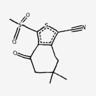 CC1(C)CC(=O)c2c(S(C)(=O)=O)sc(C#N)c2C1